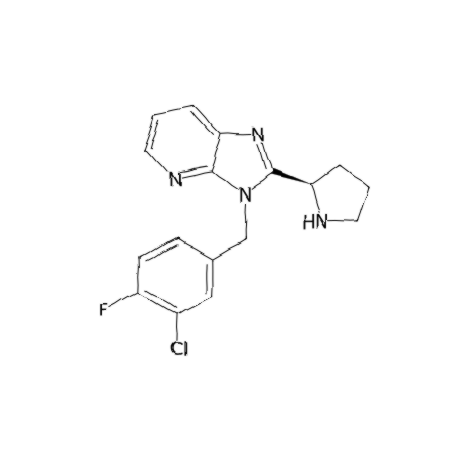 Fc1ccc(Cn2c([C@H]3CCCN3)nc3cccnc32)cc1Cl